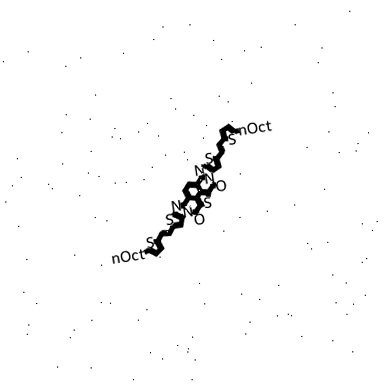 CCCCCCCCc1ccc(/C=C/c2cc3c(nc4c5ccc6c7c(sc(c(=O)n34)c57)c(=O)n3c4cc(/C=C/c5ccc(CCCCCCCC)s5)sc4nc63)s2)s1